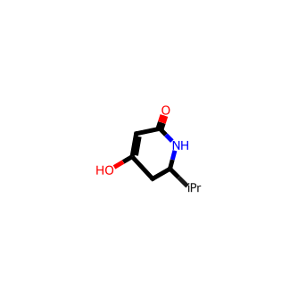 CC(C)C1CC(O)=CC(=O)N1